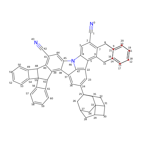 N#Cc1cc2c(c3c1C1c4ccccc4C3c3ccccc31)c1cc(C34CC5CC6CC(C3)C6(C5)C4)cc3c4c5c(c(C#N)cc4n2c13)C1c2ccccc2C12c1ccccc1C52